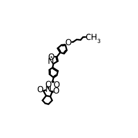 CCCCCOc1ccc(-c2cc(-c3ccc(C(=O)ON4C(=O)C5CCCCC5C4=O)cc3)no2)cc1